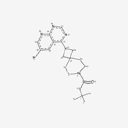 CC(C)(C)OC(=O)N1CCC2(CC1)CN(c1ncnc3ncc(Br)cc13)C2